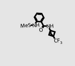 CSNc1ccccc1C(=O)NC12CC(C(F)(F)F)(C1)C2